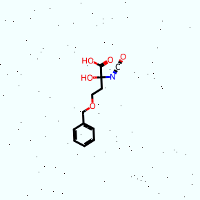 O=C=NC(O)(CCOCc1ccccc1)C(=O)O